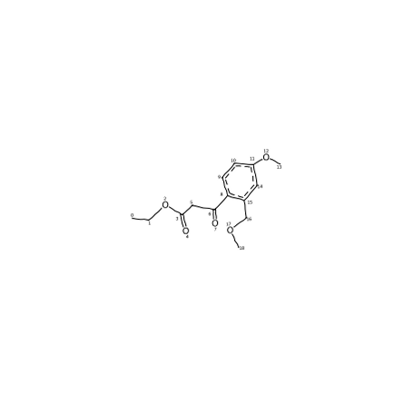 CCOC(=O)CC(=O)c1ccc(OC)cc1COC